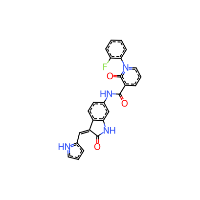 O=C1Nc2cc(NC(=O)c3cccn(-c4ccccc4F)c3=O)ccc2/C1=C/c1ccc[nH]1